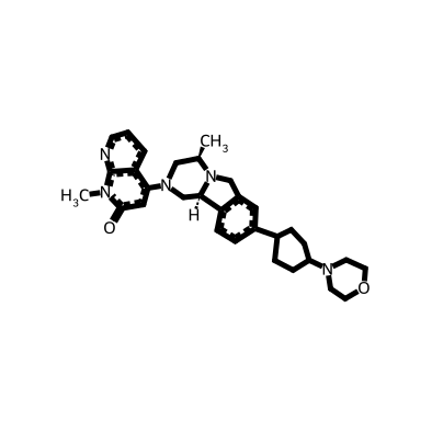 C[C@@H]1CN(c2cc(=O)n(C)c3ncccc23)C[C@@H]2c3ccc(C4CCC(N5CCOCC5)CC4)cc3CN12